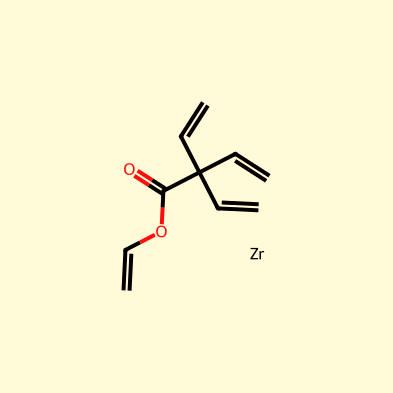 C=COC(=O)C(C=C)(C=C)C=C.[Zr]